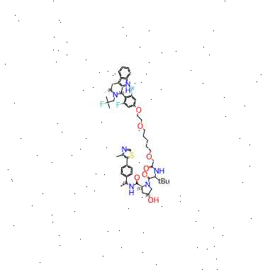 Cc1ncsc1-c1ccc([C@H](C)NC(=O)[C@@H]2C[C@@H](O)CN2C(=O)C(NC(=O)COCCCCCOCCOc2cc(F)c([C@@H]3c4[nH]c5ccccc5c4C[C@@H](C)N3CC(C)(C)F)c(F)c2)C(C)(C)C)cc1